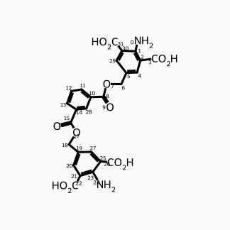 Nc1c(C(=O)O)cc(COC(=O)c2cccc(C(=O)OCc3cc(C(=O)O)c(N)c(C(=O)O)c3)c2)cc1C(=O)O